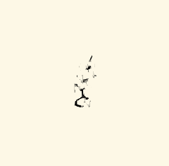 CCOC(=O)N(C)c1nnc(-c2cccnc2)s1